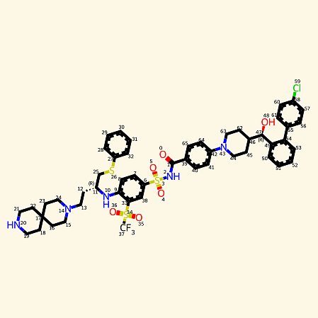 O=C(NS(=O)(=O)c1ccc(N[C@H](CCN2CCC3(CCNCC3)CC2)CSc2ccccc2)c(S(=O)(=O)C(F)(F)F)c1)c1ccc(N2CCC([C@@H](O)c3ccccc3-c3ccc(Cl)cc3)CC2)cc1